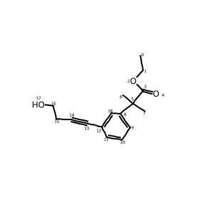 CCOC(=O)C(C)(C)c1cccc(C#CCCO)c1